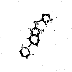 C1=CNN(c2ccc3[nH]c(Nc4cc[nH]n4)nc3c2)N=C1